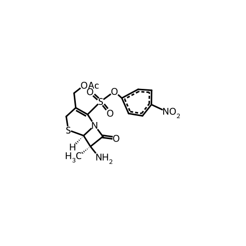 CC(=O)OCC1=C(S(=O)(=O)Oc2ccc([N+](=O)[O-])cc2)N2C(=O)[C@@](C)(N)[C@H]2SC1